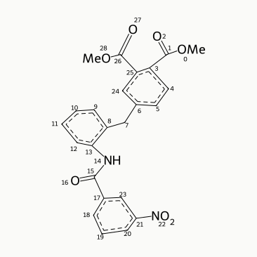 COC(=O)c1ccc(Cc2ccccc2NC(=O)c2cccc([N+](=O)[O-])c2)cc1C(=O)OC